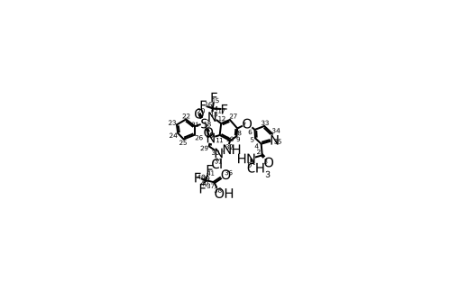 CNC(=O)c1cc(Oc2cc3c(c(N(C(F)(F)F)S(=O)(=O)c4ccccc4)c2)N=CN(Cl)N3)ccn1.O=C(O)C(F)(F)F